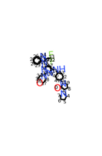 O=C1C(N2CCCC2)CCN1[C@H]1CC[C@H](Nc2cc(-n3c(C(F)F)nc4ccccc43)nc(N3CCOCC3)n2)CC1